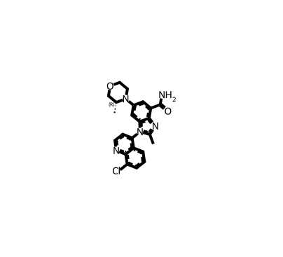 Cc1nc2c(C(N)=O)cc(N3CCOC[C@H]3C)cc2n1-c1ccnc2c(Cl)cccc12